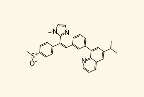 CC(C)c1cc(-c2cccc(C=C(c3ccc([S+](C)[O-])cc3)c3nccn3C)c2)c2ncccc2c1